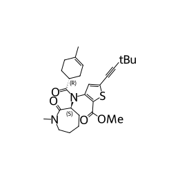 COC(=O)c1sc(C#CC(C)(C)C)cc1N(C(=O)[C@H]1CC=C(C)CC1)[C@H]1CCCCN(C)C1=O